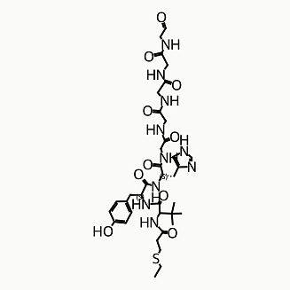 CCSCCC(=O)NC(C(=O)N[C@@H](Cc1ccc(O)cc1)C(=O)N[C@@H](Cc1c[nH]cn1)C(=O)NCC(=O)NCC(=O)NCC(=O)NCC(=O)NCC=O)C(C)(C)C